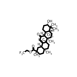 CC1(C)[C@@H](O)CC[C@]2(C)[C@H]3C(=O)C=C4[C@H]5C[C@@](C)(C(=O)OCC(F)(F)F)CC[C@]5(C)CC[C@@]4(C)[C@]3(C)CC[C@@H]12